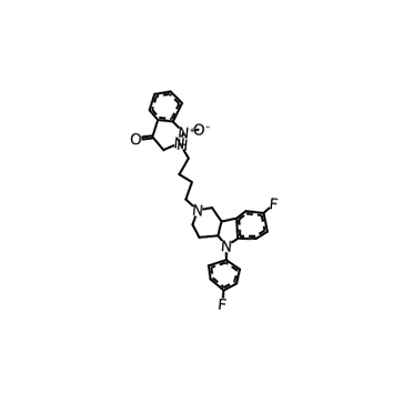 O=C1CN(CCCCN2CCC3C(C2)c2cc(F)ccc2N3c2ccc(F)cc2)[NH+]([O-])c2ccccc21